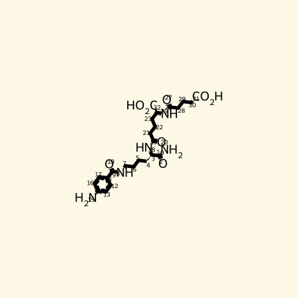 NC(=O)[C@H](CCCCNC(=O)c1ccc(N)cc1)NC(=O)CCC[C@H](NC(=O)CCCC(=O)O)C(=O)O